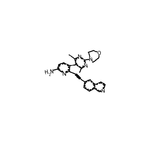 Cc1nc(N2CCOCC2)nc(C)c1-c1ccc(N)nc1C#Cc1ccc2cnccc2c1